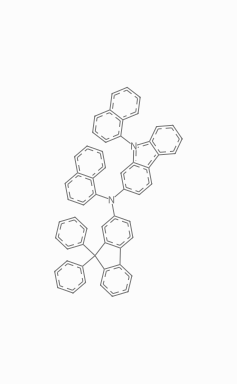 c1ccc(C2(c3ccccc3)c3ccccc3-c3ccc(N(c4ccc5c6ccccc6n(-c6cccc7ccccc67)c5c4)c4cccc5ccccc45)cc32)cc1